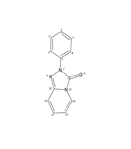 O=c1n(-c2cc[c]cc2)nc2ccccn12